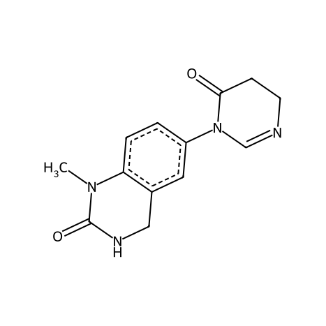 CN1C(=O)NCc2cc(N3C=NCCC3=O)ccc21